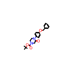 CC(C)(C)OC(=O)N1CCN(c2ccc(OCc3ccccc3)cc2)C(=O)C1